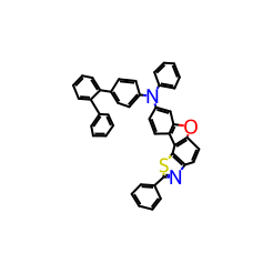 c1ccc(-c2nc3ccc4oc5cc(N(c6ccccc6)c6ccc(-c7ccccc7-c7ccccc7)cc6)ccc5c4c3s2)cc1